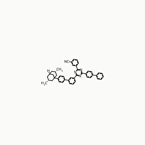 C[C@@H]1C[C@@H]2C[C@H](C)CC(c3ccc(-c4cccc(-c5nc(-c6ccc(-c7ccccc7)cc6)nc(-c6cccc(C#N)c6)n5)c4)cc3)(C1)C2